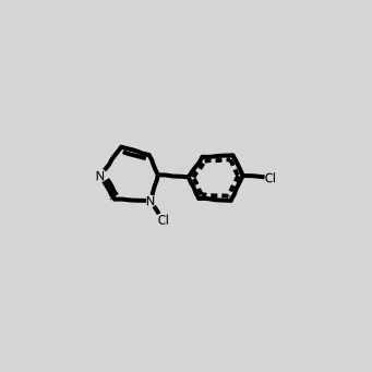 Clc1ccc(C2C=CN=[C]N2Cl)cc1